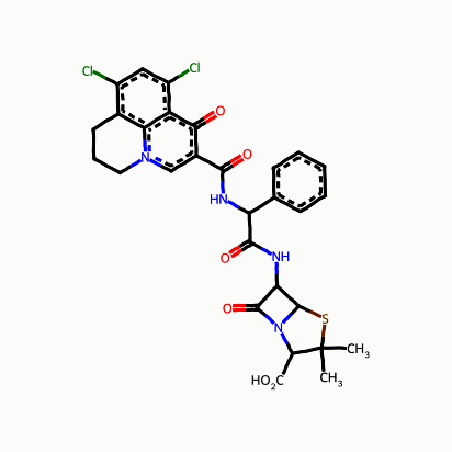 CC1(C)SC2C(NC(=O)C(NC(=O)c3cn4c5c(c(Cl)cc(Cl)c5c3=O)CCC4)c3ccccc3)C(=O)N2C1C(=O)O